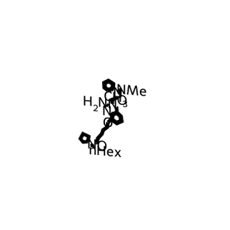 CCCCCCN(C(=O)CCCCOc1cccc2c1N=C(N)N(CC(=O)N(NC)c1ccccc1C)C2)C1CCCC1